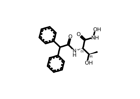 C[C@@H](O)[C@H](NC(=O)C(c1ccccc1)c1ccccc1)C(=O)NO